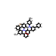 Cc1cc2c3c(c1)N(c1ccc(C(C)(C)C)cc1-c1ccccc1)c1c(ccc4sc5ccccc5c14)B3N(c1ccc(C(C)(C)C)cc1)c1cc(-c3ccccc3)ccc1-2